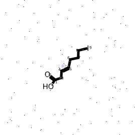 O=C(O)C/C=C/CCCI